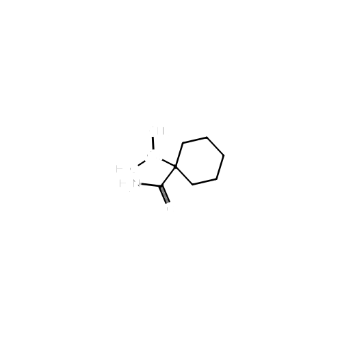 [CH3][Ga]([CH3])[C]1(C(N)=O)CCCCC1